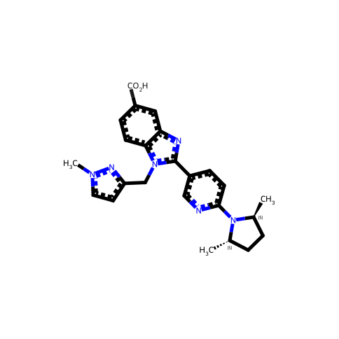 C[C@H]1CC[C@H](C)N1c1ccc(-c2nc3cc(C(=O)O)ccc3n2Cc2ccn(C)n2)cn1